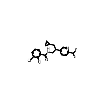 O=C(NCC(CC1CC1)c1ccc(C(F)F)nc1)c1cccc(Cl)c1Cl